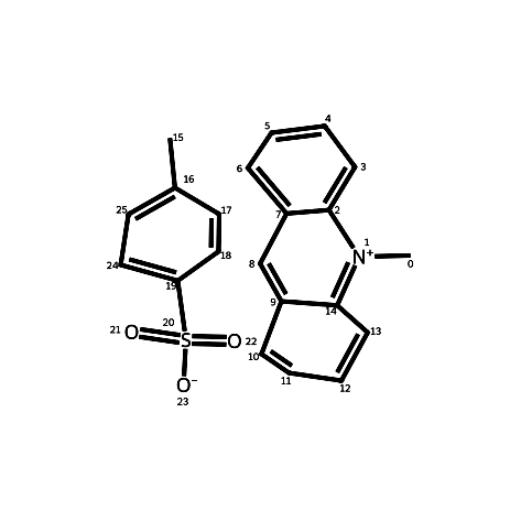 C[n+]1c2ccccc2cc2ccccc21.Cc1ccc(S(=O)(=O)[O-])cc1